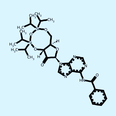 CC(C)[Si]1(C(C)C)OC[C@H]2O[C@@H](n3cnc4c(NC(=O)c5ccccc5)ncnc43)C(=O)[C@@H]2O[Si](C(C)C)(C(C)C)O1